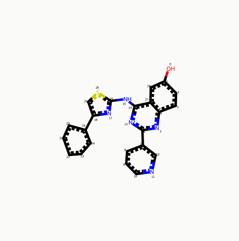 Oc1ccc2nc(-c3cccnc3)nc(Nc3nc(-c4ccccc4)cs3)c2c1